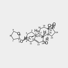 C[C@]12CC[C@H](OC3CCCO3)CC1=CC(=O)[C@@H]1[C@@H]2CC[C@]2(C)C(=O)CC[C@@H]12